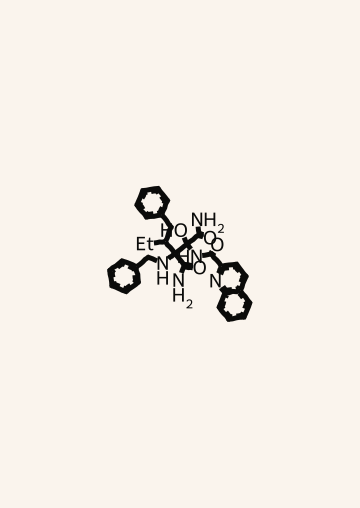 CCC(Cc1ccccc1)C(NCc1ccccc1)(C(N)=O)C(O)(NC(=O)c1ccc2ccccc2n1)C(N)=O